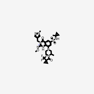 CO/N=c1\[nH]c2c(N3CCN(C(=O)C4(C(F)(F)F)CC4)C(C)C3)cc(S(=O)(=O)NC3(C)CC3)cc2c(=O)n1Cc1cnn(C)c1